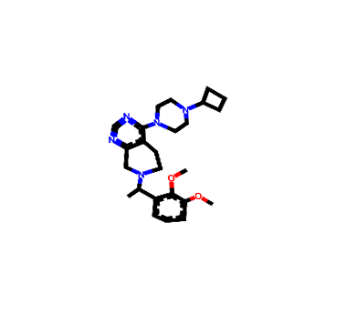 COc1cccc(C(C)N2CCc3c(ncnc3N3CCN(C4CCC4)CC3)C2)c1OC